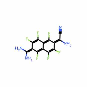 N#C/C(N)=c1/c(F)c(F)c2c(F)c(=C(N)N)c(F)c(F)c2c1F